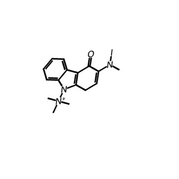 CN(I)C1=CCc2c(c3ccccc3n2[N+](C)(C)C)C1=O